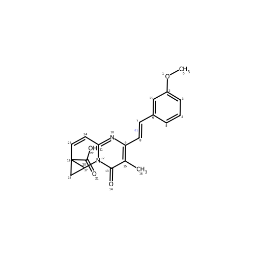 COc1cccc(/C=C/c2nc3n(c(=O)c2C)C2CC2(C(=O)O)C=C3)c1